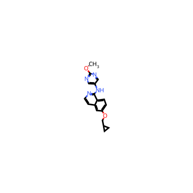 COc1ncc(Nc2nccc3cc(OCC4CC4)ccc23)cn1